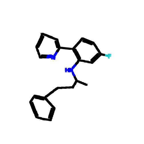 CC(CCc1ccccc1)Nc1cc(F)ccc1-c1c[c]ccn1